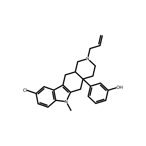 C=CCN1CCC2(c3cccc(O)c3)Cc3c(c4cc(Cl)ccc4n3C)CC2C1